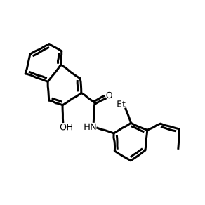 C/C=C\c1cccc(NC(=O)c2cc3ccccc3cc2O)c1CC